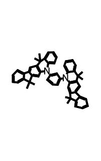 CC1(C)c2ccccc2-c2cc3c(cc21)N(c1cccc(N2c4ccccc4C(C)(C)c4cc5c(cc42)C(C)(C)c2ccccc2-5)c1)c1ccccc1C3(C)C